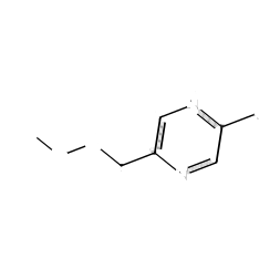 CCOOCc1cnc(C)cn1